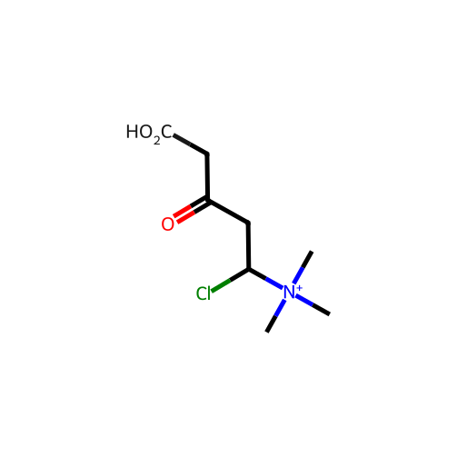 C[N+](C)(C)C(Cl)CC(=O)CC(=O)O